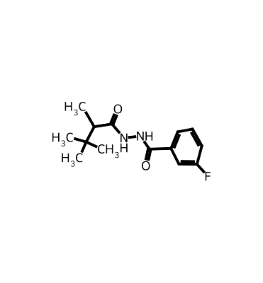 CC(C(=O)NNC(=O)c1cccc(F)c1)C(C)(C)C